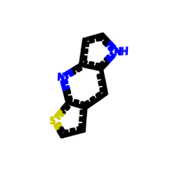 c1cc2nc3sccc3cc2[nH]1